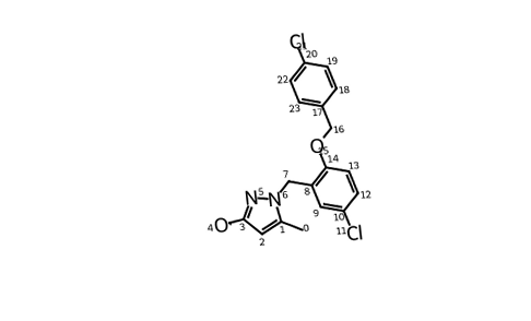 Cc1cc([O])nn1Cc1cc(Cl)ccc1OCc1ccc(Cl)cc1